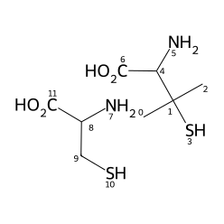 CC(C)(S)C(N)C(=O)O.NC(CS)C(=O)O